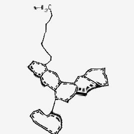 CCCCCCc1cccc2cc3c(-c4ccccc4)cc4cc5ccccc5cc4c3cc12